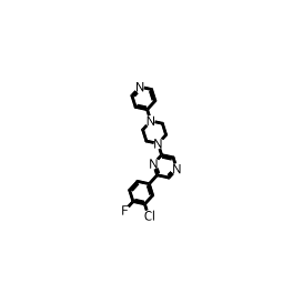 Fc1ccc(-c2cncc(N3CCN(c4ccncc4)CC3)n2)cc1Cl